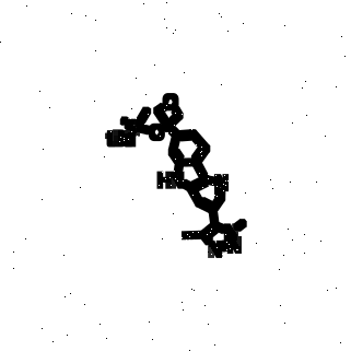 Cc1nnn(C)c1-c1cnc2c(c1)[nH]c1cc(C3(O[Si](C)(C)C(C)(C)C)COC3)ccc12